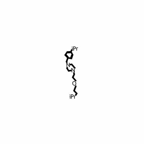 CC(C)CCCOCCCN1CCN(Cc2ccc(C(C)C)cc2)CC1